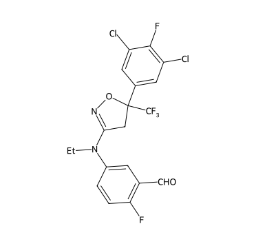 CCN(C1=NOC(c2cc(Cl)c(F)c(Cl)c2)(C(F)(F)F)C1)c1ccc(F)c(C=O)c1